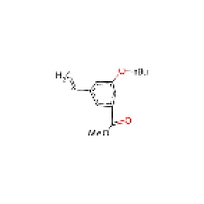 C=[C]c1cc(OCCCC)cc(C(=O)OC)c1